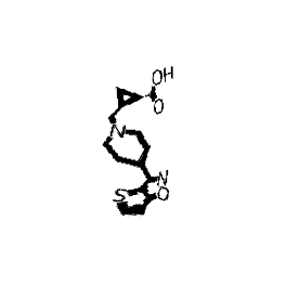 O=C(O)[C@H]1C[C@@H]1CN1CCC(c2noc3ccsc23)CC1